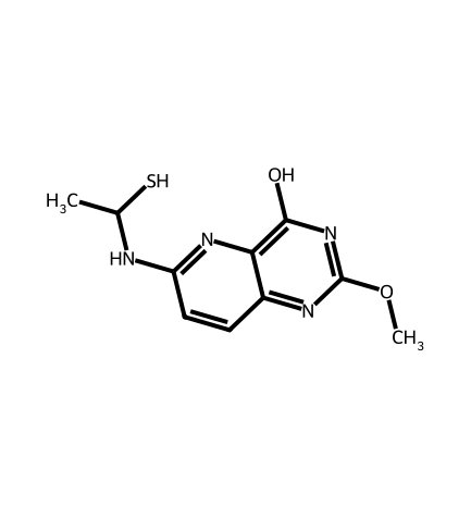 COc1nc(O)c2nc(NC(C)S)ccc2n1